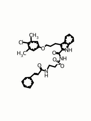 Cc1cc(OCCCc2c(C(=O)NS(=O)(=O)CCNC(=O)C=Cc3ccccc3)[nH]c3ccccc23)cc(C)c1Cl